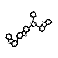 c1ccc(-c2nc(-c3ccc4c(c3)oc3cc(-c5cccc6oc7ccccc7c56)ccc34)nc(-c3cccc4c3oc3ccccc34)n2)cc1